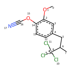 COc1cc(CC(C)[Si](Cl)(Cl)Cl)ccc1OC#N